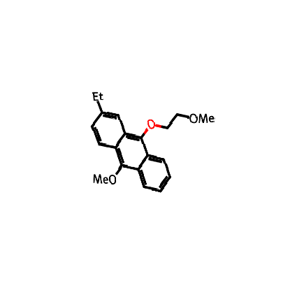 CCc1ccc2c(OC)c3ccccc3c(OCCOC)c2c1